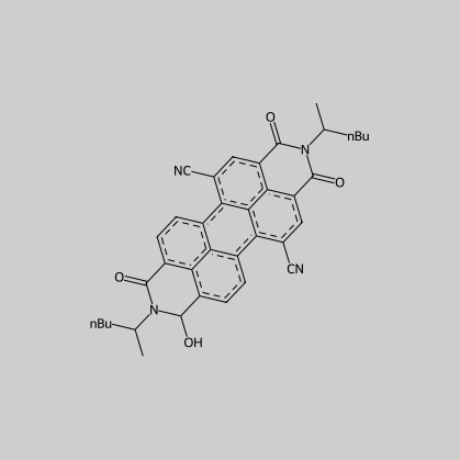 CCCCC(C)N1C(=O)c2cc(C#N)c3c4ccc5c6c(ccc(c7c(C#N)cc(c2c37)C1=O)c64)C(O)N(C(C)CCCC)C5=O